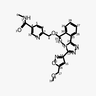 CNC(=O)c1ccc(COc2nn3c(-c4cc(COC)on4)nnc3c3ccccc23)nc1